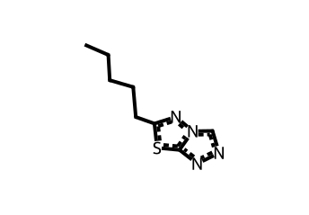 CCCCCc1nn2cnnc2s1